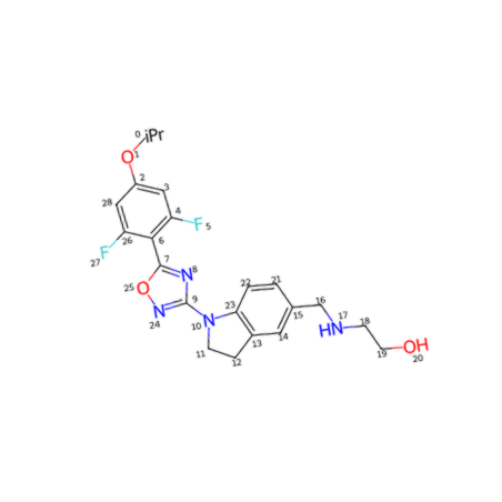 CC(C)Oc1cc(F)c(-c2nc(N3CCc4cc(CNCCO)ccc43)no2)c(F)c1